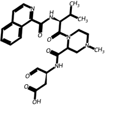 CC(C)[C@H](NC(=O)c1nccc2ccccc12)C(=O)N1CCN(C)CC1C(=O)N[C@H](C=O)CC(=O)O